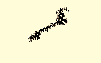 NC(=O)c1ccc2c(c1)nc(NCCOCCCCNCc1ccc(OC(F)(F)F)c(F)c1)c1ccncc12